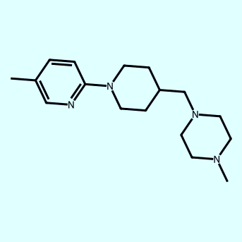 Cc1ccc(N2CCC(CN3CCN(C)CC3)CC2)nc1